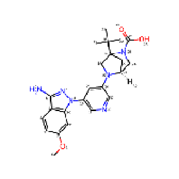 COc1ccc2c(N)nn(-c3cncc(N4C[C@@]5(C(C)(C)C)C[C@H]4CN5C(=O)O)c3)c2c1